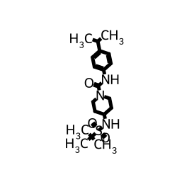 CC(C)c1ccc(NC(=O)N2CCC(NS(=O)(=O)C(C)(C)C)CC2)cc1